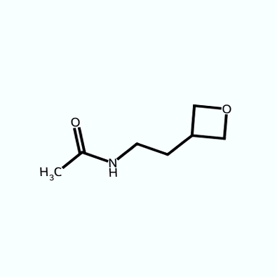 CC(=O)NCCC1COC1